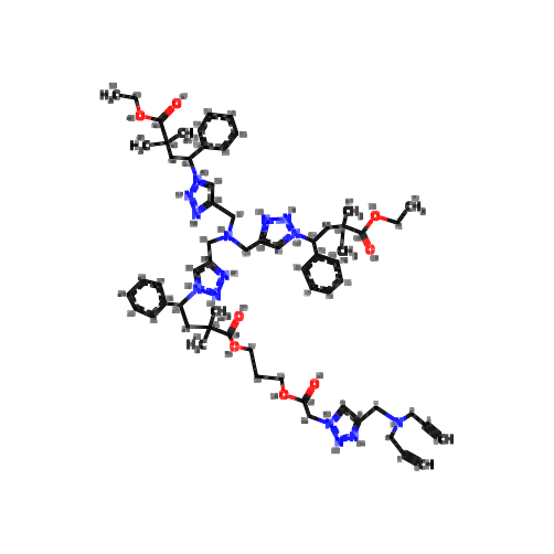 C#CCN(CC#C)Cc1cn(CC(=O)OCCCOC(=O)C(C)(C)CC(c2ccccc2)n2cc(CN(Cc3cn(C(CC(C)(C)C(=O)OCC)c4ccccc4)nn3)Cc3cn(C(CC(C)(C)C(=O)OCC)c4ccccc4)nn3)nn2)nn1